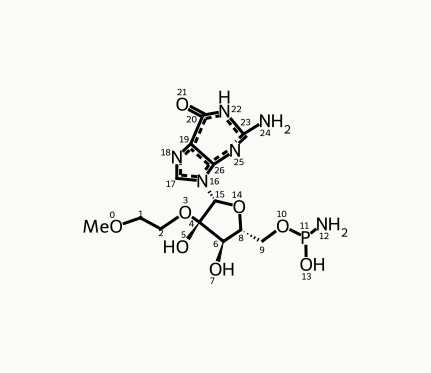 COCCO[C@@]1(O)[C@H](O)[C@@H](COP(N)O)O[C@H]1n1cnc2c(=O)[nH]c(N)nc21